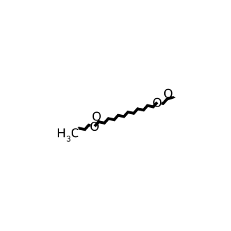 CCCCOC(=O)CCCCCCCCCCCOCC1CO1